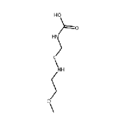 COCCNSCNC(=O)O